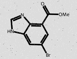 COC(=O)c1cc(Br)cc2[nH]cnc12